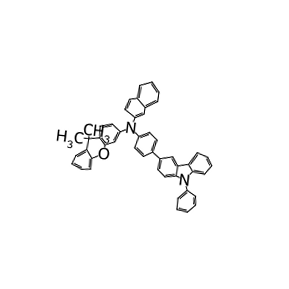 CC1(C)c2ccccc2Oc2cc(N(c3ccc(-c4ccc5c(c4)c4ccccc4n5-c4ccccc4)cc3)c3ccc4ccccc4c3)ccc21